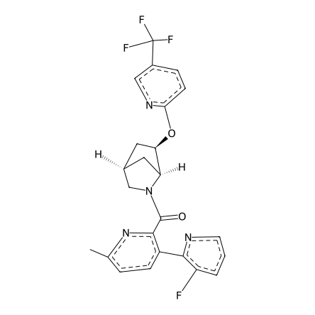 Cc1ccc(-c2ncccc2F)c(C(=O)N2C[C@H]3C[C@@H](Oc4ccc(C(F)(F)F)cn4)[C@@H]2C3)n1